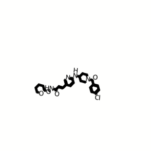 O=C(/C=C/c1ccc(NC2CCN(C(=O)c3ccc(Cl)cc3)CC2)nc1)NOC1CCCCO1